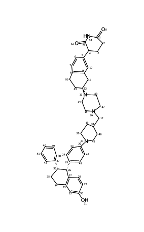 O=C1CCC(c2ccc3c(c2)C[C@@H](N2CCN(CC4CCN(c5ccc([C@@H]6c7ccc(O)cc7CC[C@@H]6c6ccccc6)cc5)CC4)CC2)CC3)C(=O)N1